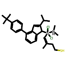 CC(=[CH][Zr]([Cl])([Cl])([CH]1C(C(C)C)=Cc2c(-c3ccc(C(C)(C)C)cc3)cccc21)[SiH](C)C)CCS